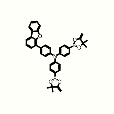 C=C1OB(c2ccc(N(c3ccc(B4OC(=C)C(C)(C)O4)cc3)c3ccc(-c4cccc5c4oc4ccccc45)cc3)cc2)OC1(C)C